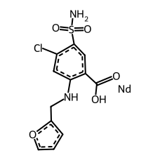 NS(=O)(=O)c1cc(C(=O)O)c(NCc2ccco2)cc1Cl.[Nd]